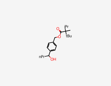 CCCC(O)c1ccc(COC(=O)C(C)(C(C)C)C(C)(C)C)cc1